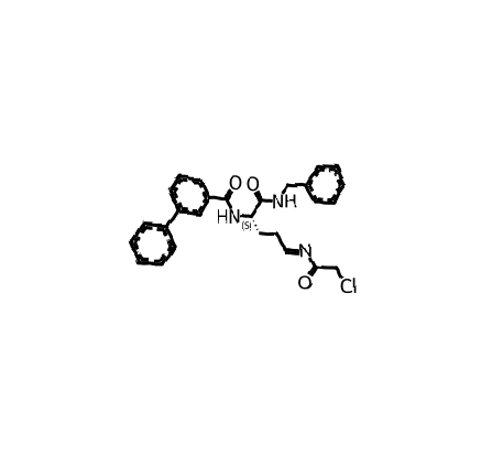 O=C(CCl)N=CCC[C@H](NC(=O)c1cccc(-c2ccccc2)c1)C(=O)NCc1ccccc1